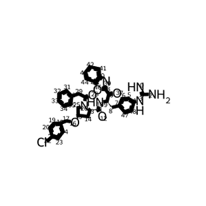 N=C(N)Nc1ccc(C[C@H](NC(=O)[C@@H]2C[C@@H](OCc3ccc(Cl)cc3)CN2C(=O)Cc2ccccc2)C(=O)c2nc3ccccc3o2)cc1